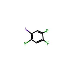 Fc1cc(F)c(I)cc1F